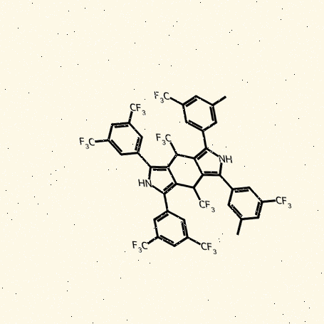 Cc1cc(-c2[nH]c(-c3cc(C)cc(C(F)(F)F)c3)c3c2C(C(F)(F)F)c2c(-c4cc(C(F)(F)F)cc(C(F)(F)F)c4)[nH]c(-c4cc(C(F)(F)F)cc(C(F)(F)F)c4)c2C3C(F)(F)F)cc(C(F)(F)F)c1